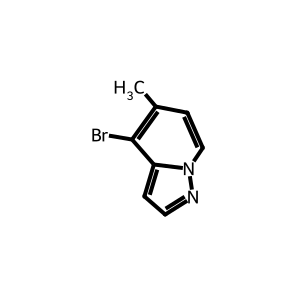 Cc1ccn2nccc2c1Br